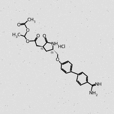 CC(=O)OC(C)OC(=O)C[C@@H]1C[C@@H](COc2ccc(-c3ccc(C(=N)N)cc3)cc2)NC1=O.Cl